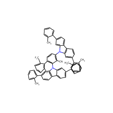 Cc1ccccc1-c1ccc2c3ccc(-c4ccccc4C)cc3n(-c3ccc(-c4c(C(F)(F)F)cccc4C(F)(F)F)c(-n4c5cc(-c6ccccc6C)ccc5c5ccc(-c6ccccc6C)cc54)c3C#N)c2c1